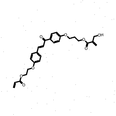 C=CC(=O)OCCOc1ccc(/C=C/C(=O)c2ccc(OCCCOC(=O)C(=C)CO)cc2)cc1